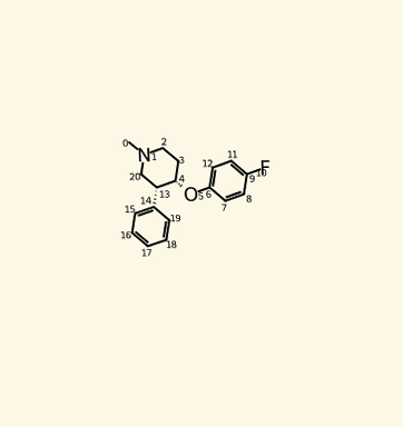 CN1CC[C@H](Oc2ccc(F)cc2)[C@H](c2ccccc2)C1